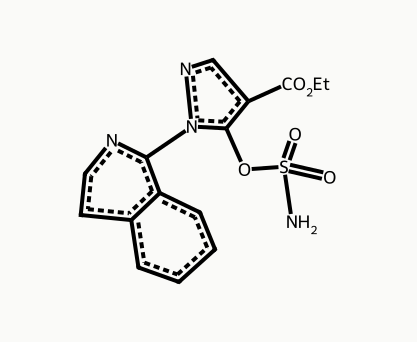 CCOC(=O)c1cnn(-c2nccc3ccccc23)c1OS(N)(=O)=O